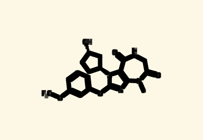 CN1C(=O)CNC(=O)c2c1nc(Oc1cccc(OC(F)(F)F)c1)n2[C@H]1CC[C@H](O)C1